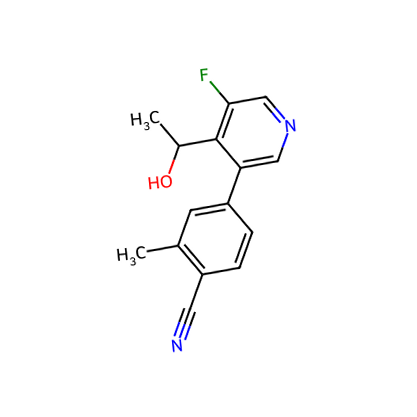 Cc1cc(-c2cncc(F)c2C(C)O)ccc1C#N